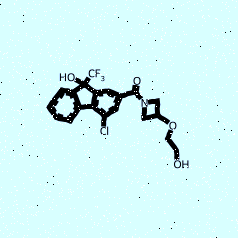 O=C(c1cc(Cl)c2c(c1)C(O)(C(F)(F)F)c1ccccc1-2)N1CC(OCCO)C1